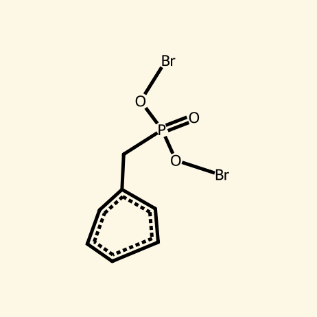 O=P(Cc1ccccc1)(OBr)OBr